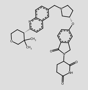 CC1(C)COCC[C@@H]1c1ccc2cc(CN3CC[C@H](Oc4ccc5c(c4)CN(C4CCC(=O)NC4=O)C5=O)C3)ccc2n1